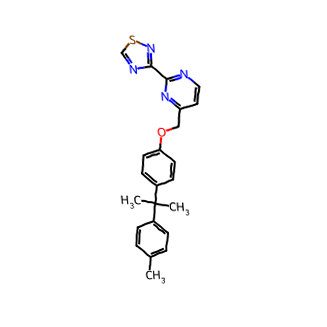 Cc1ccc(C(C)(C)c2ccc(OCc3ccnc(-c4ncsn4)n3)cc2)cc1